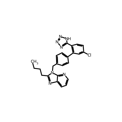 CCCCc1nc2cccnc2n1Cc1ccc(-c2cc(Cl)ccc2-c2nnn[nH]2)cc1